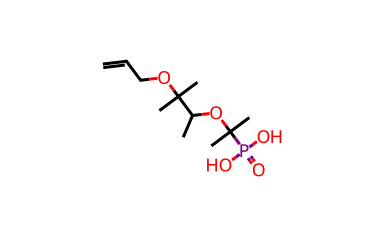 C=CCOC(C)(C)C(C)OC(C)(C)P(=O)(O)O